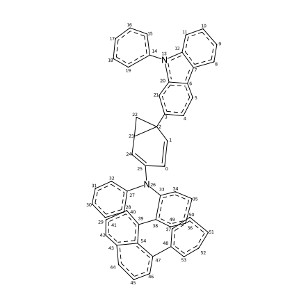 C1=CC2(c3ccc4c5ccccc5n(-c5ccccc5)c4c3)CC2C=C1N(c1ccccc1)c1ccccc1-c1cccc2cccc(-c3ccccc3)c12